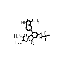 C=C(CN1Cc2c(cc(NCC(F)(F)F)cc2-c2ccc3[nH]nc(C)c3c2)C1=O)C(N)=O